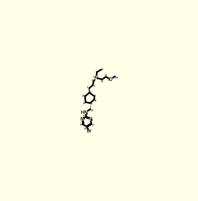 CCN(CCC[C@H]1CC[C@H](CNc2ncc(Br)cn2)CC1)CCOC